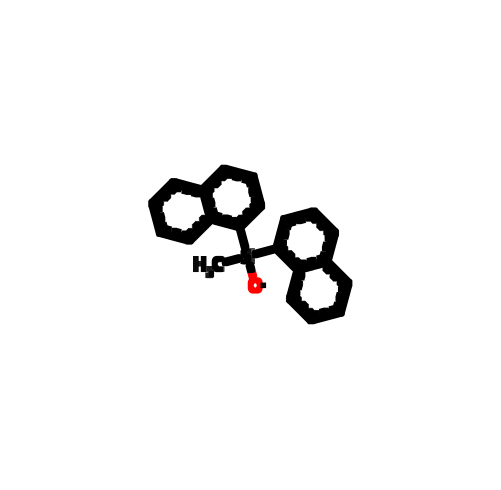 C[Si]([O])(c1cccc2ccccc12)c1cccc2ccccc12